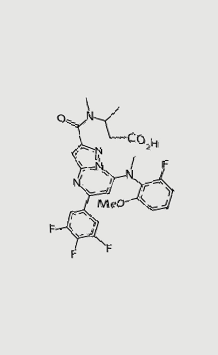 COc1cccc(F)c1N(C)c1cc(-c2cc(F)c(F)c(F)c2)nc2cc(C(=O)N(C)C(C)CC(=O)O)nn12